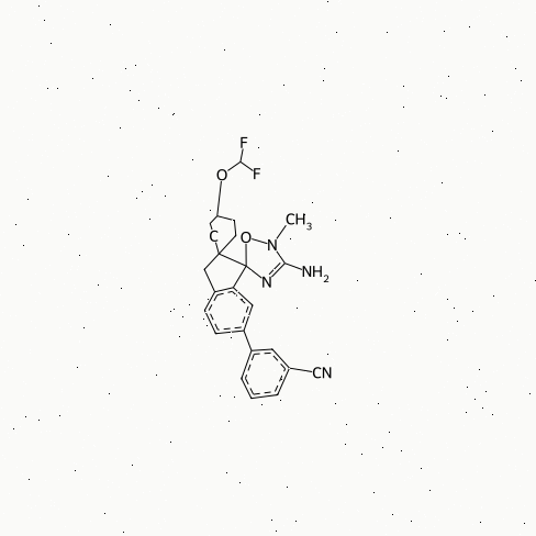 CN1OC2(N=C1N)c1cc(-c3cccc(C#N)c3)ccc1CC21CCC(OC(F)F)CC1